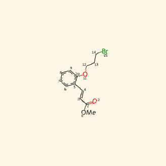 COC(=O)C=Cc1ccccc1OCCCBr